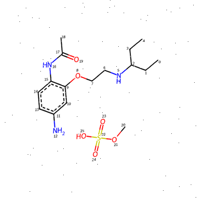 CCC(CC)NCCOc1cc(N)ccc1NC(C)=O.COS(=O)(=O)O